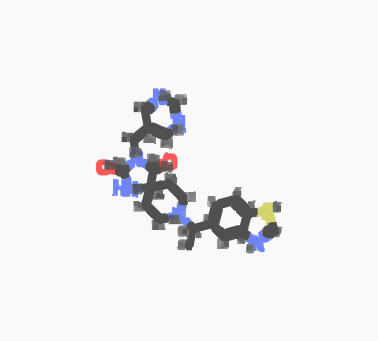 C[C@H](c1ccc2scnc2c1)N1CCC2(CC1)NC(=O)N(Cc1cncnc1)C2=O